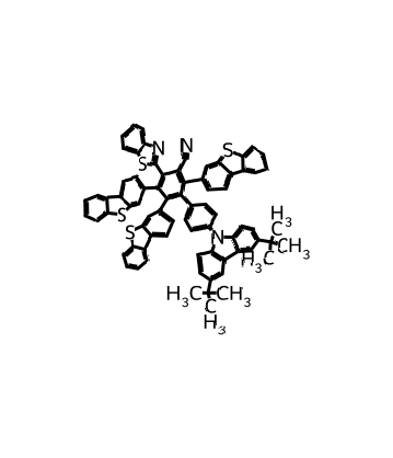 CC(C)(C)c1ccc2c(c1)c1cc(C(C)(C)C)ccc1n2-c1ccc(-c2c(-c3ccc4c(c3)sc3ccccc34)c(C#N)c(-c3nc4ccccc4s3)c(-c3ccc4c(c3)sc3ccccc34)c2-c2ccc3c(c2)sc2ccccc23)cc1